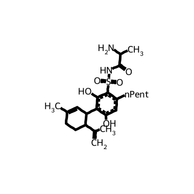 C=C(C)C1CCC(C)=CC1c1c(O)cc(CCCCC)c(S(=O)(=O)NC(=O)C(C)N)c1O